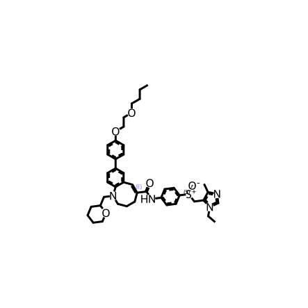 CCCCOCCOc1ccc(-c2ccc3c(c2)/C=C(/C(=O)Nc2ccc([S@+]([O-])Cc4c(C)ncn4CC)cc2)CCCN3CC2CCCCO2)cc1